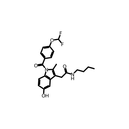 CCCCNC(=O)Cc1c(C)n(C(=O)c2ccc(OC(F)F)cc2)c2ccc(O)cc12